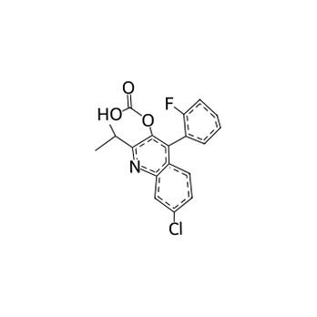 CC(C)c1nc2cc(Cl)ccc2c(-c2ccccc2F)c1OC(=O)O